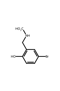 O=C(O)NCc1cc(Br)ccc1O